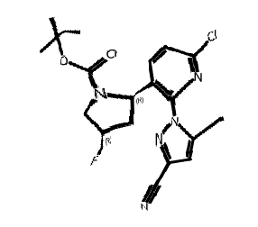 Cc1cc(C#N)nn1-c1nc(Cl)ccc1[C@H]1C[C@@H](F)CN1C(=O)OC(C)(C)C